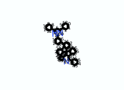 c1ccc(-c2cc(-c3ccccc3)nc(-c3cccc(-c4cccc5c4-c4ccccc4C54c5ccccc5-c5c(-c6ccccc6)nc6ccccc6c54)c3)n2)cc1